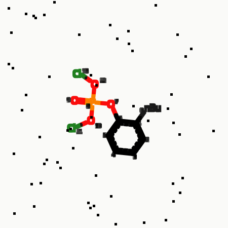 CCCCc1ccccc1OP(=O)(OCl)OCl